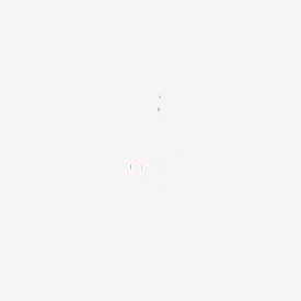 [CH2]C(C=C)c1ccc(C2CC2)c(OCC)c1